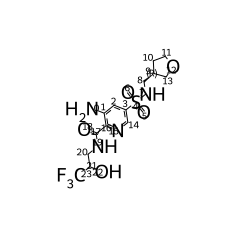 Nc1cc(S(=O)(=O)NC[C@H]2CCOC2)cnc1C(=O)NCC(O)C(F)(F)F